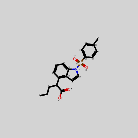 CCCC(C(=O)O)c1cccc2c1ccn2S(=O)(=O)c1ccc(C)cc1